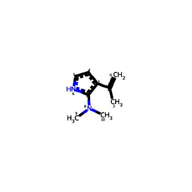 C=C(C)c1cc[nH]c1N(C)C